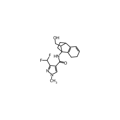 Cn1cc(C(=O)NC23CCC(C4=C2CCC=C4)C3CO)c(C(F)F)n1